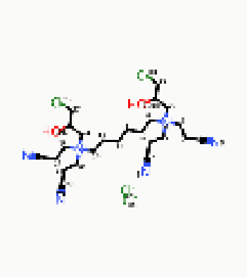 N#CCC[N+](CCC#N)(CCCCCC[N+](CCC#N)(CCC#N)CC(O)CCl)CC(O)CCl.[Cl-].[Cl-]